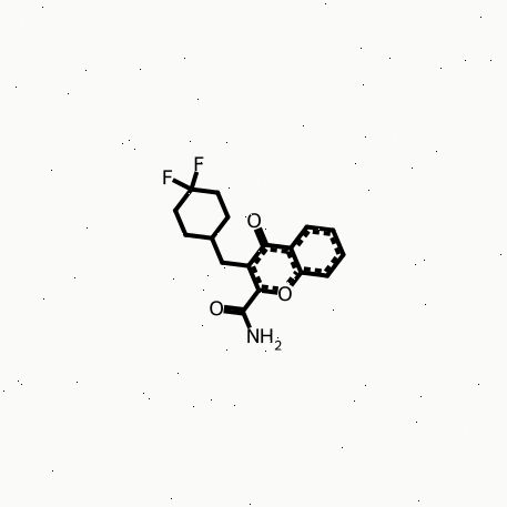 NC(=O)c1oc2ccccc2c(=O)c1CC1CCC(F)(F)CC1